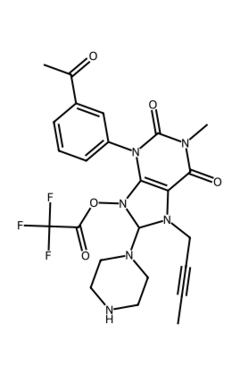 CC#CCN1c2c(n(-c3cccc(C(C)=O)c3)c(=O)n(C)c2=O)N(OC(=O)C(F)(F)F)C1N1CCNCC1